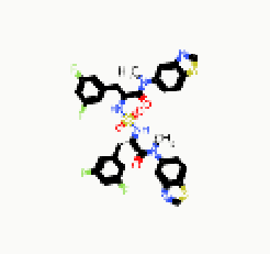 CN(C(=O)C(Cc1cc(F)cc(F)c1)NS(=O)(=O)N[C@@H](Cc1cc(F)cc(F)c1)C(=O)N(C)c1ccc2scnc2c1)c1ccc2scnc2c1